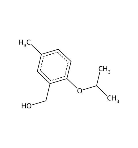 Cc1ccc(OC(C)C)c(CO)c1